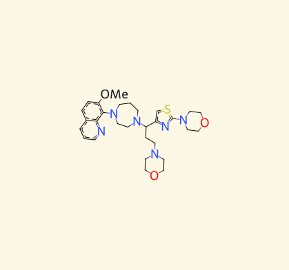 COc1ccc2cccnc2c1N1CCCN(C(CCN2CCOCC2)c2csc(N3CCOCC3)n2)CC1